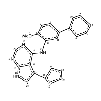 COc1ccc(-c2ccccc2)cc1Nc1ncnc2[nH]nc(-c3cccs3)c12